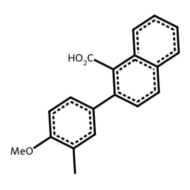 COc1ccc(-c2ccc3ccccc3c2C(=O)O)cc1C